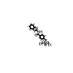 CCOP(=O)(Cc1ccc(C(=O)Nc2nc3ccccc3s2)cc1)OCC